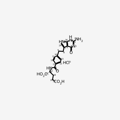 Cl.Nc1nc(=O)c2c(CCc3ccc(C(=O)N[C@H](CCC(=O)O)C(=O)O)cc3)c[nH]c2[nH]1